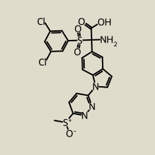 C[S+]([O-])c1ccc(-n2ccc3cc(C(N)(C(=O)O)S(=O)(=O)c4cc(Cl)cc(Cl)c4)ccc32)nn1